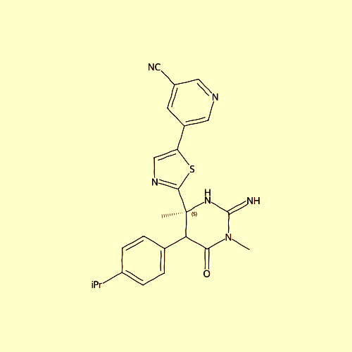 CC(C)c1ccc(C2C(=O)N(C)C(=N)N[C@]2(C)c2ncc(-c3cncc(C#N)c3)s2)cc1